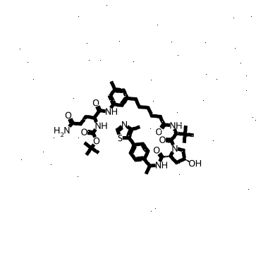 Cc1cc(CCCCCC(=O)NC(C(=O)N2C[C@H](O)C[C@H]2C(=O)NC(C)c2ccc(-c3scnc3C)cc2)C(C)(C)C)cc(NC(=O)C(CCC(N)=O)NC(=O)OC(C)(C)C)c1